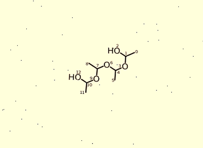 CC(O)OC(C)OC(C)OC(C)O